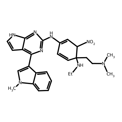 CCNC1(CCN(C)C)C=CC(Nc2nc(-c3cn(C)c4ccccc34)c3cc[nH]c3n2)=CC1[N+](=O)[O-]